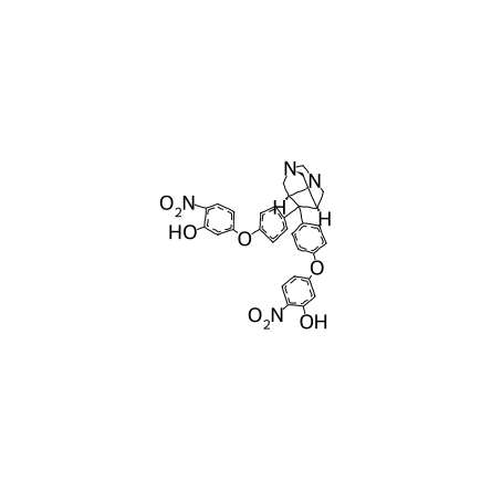 O=[N+]([O-])c1ccc(Oc2ccc(C3(c4ccc(Oc5ccc([N+](=O)[O-])c(O)c5)cc4)[C@H]4C[N@]5C[C@H]3C[N@](C4)C5)cc2)cc1O